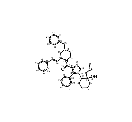 COC[C@]1(O)CCCC[C@H]1n1cnc(C(=O)N2CCN(Cc3ccccc3)CC2C=Cc2ccccn2)c1-c1ccccc1